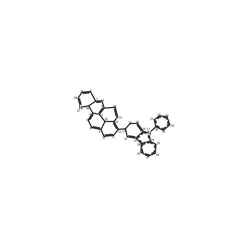 C1=CC2=CC3=C4C(=CC=C5C=CC(C6C=c7c(n(-c8ccccc8)c8ccccc78)=CC6)=C(C=C3)C54)C2N=C1